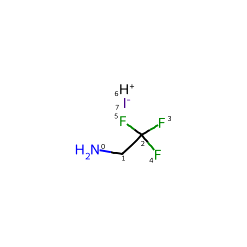 NCC(F)(F)F.[H+].[I-]